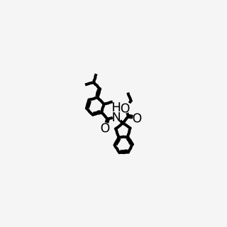 CCOC(=O)C1(NC(=O)C2=CC=CC(=CC(C)C)C2C)Cc2ccccc2C1